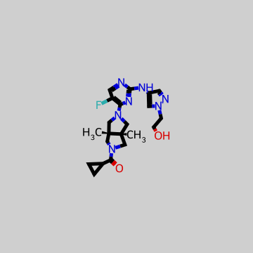 C[C@@]12CN(C(=O)C3CC3)C[C@]1(C)CN(c1nc(Nc3cnn(CCO)c3)ncc1F)C2